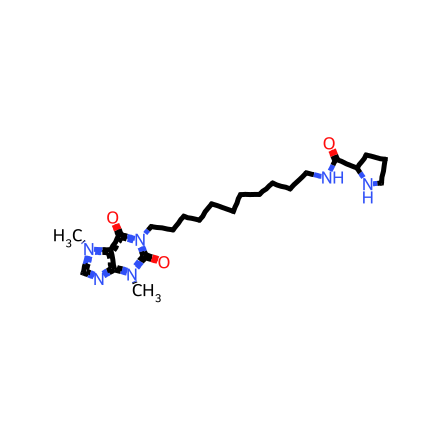 Cn1cnc2c1c(=O)n(CCCCCCCCCCCNC(=O)C1CCCN1)c(=O)n2C